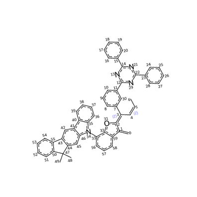 C=c1/c(=C(\C=C/C)c2cccc(-c3nc(-c4ccccc4)nc(-c4ccccc4)n3)c2)oc2c(-n3c4ccccc4c4cc5c(cc43)C(C)(C)c3ccccc3-5)cccc12